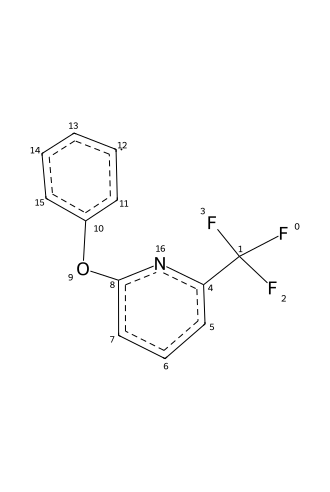 FC(F)(F)c1cccc(Oc2c[c]ccc2)n1